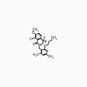 CCCCOc1nc(C)cc(C)c1CN1CC(F)(F)c2ccc(OC)c(Cl)c2C1=O